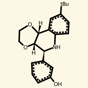 CC(C)(C)c1ccc2c(c1)[C@H]1OCCO[C@H]1[C@H](c1cccc(O)c1)N2